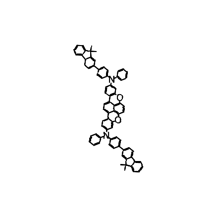 CC1(C)C2=CC(c3ccc(N(c4ccccc4)c4ccc5c(c4)Oc4ccc6c7c(ccc-5c47)-c4ccc(N(c5ccccc5)c5ccc(-c7ccc8c(c7)C(C)(C)c7ccccc7-8)cc5)cc4O6)cc3)=CCC2c2ccccc21